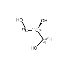 [2H][C@H](O)[13C@H](O)[13CH2]O